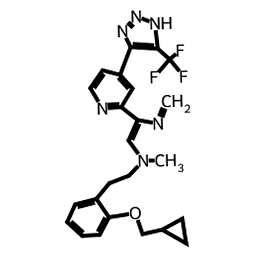 C=N/C(=C\N(C)CCc1ccccc1OCC1CC1)c1cc(-c2nn[nH]c2C(F)(F)F)ccn1